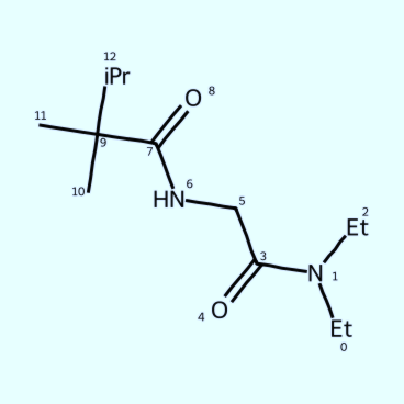 CCN(CC)C(=O)CNC(=O)C(C)(C)C(C)C